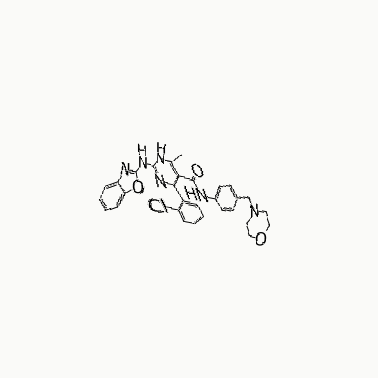 CC1=C(C(=O)Nc2ccc(CN3CCOCC3)cc2)C(c2ccccc2Cl)N=C(Nc2nc3ccccc3o2)N1